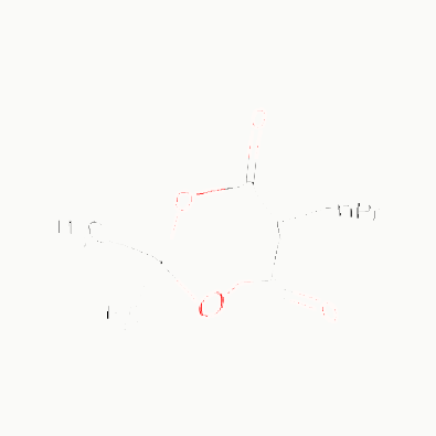 CCCC1C(=O)OC(C)(C)OC1=O